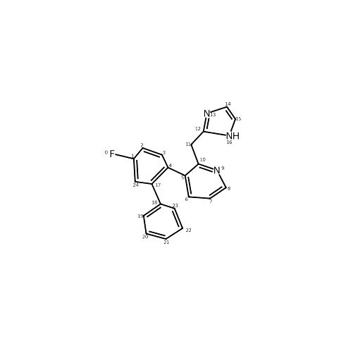 Fc1ccc(-c2cccnc2Cc2ncc[nH]2)c(-c2ccccc2)c1